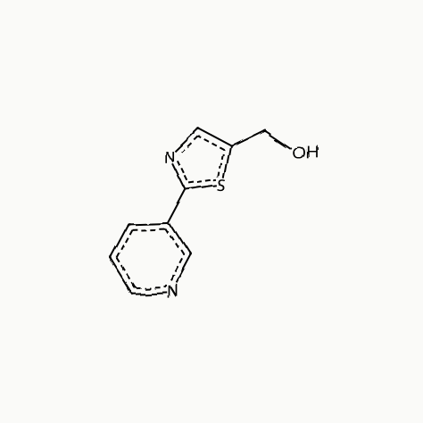 OCc1cnc(-c2cccnc2)s1